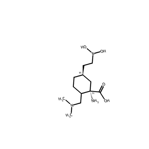 CN(C)CC1CC[C@@H](CCB(O)O)C[C@@]1(N)C(=O)O